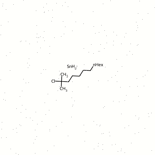 CCCCCCCCCCCC(C)(C)Cl.[SnH2]